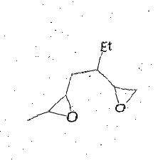 CCC(CC1OC1C)C1CO1